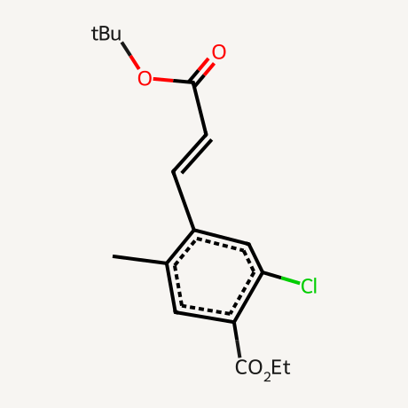 CCOC(=O)c1cc(C)c(C=CC(=O)OC(C)(C)C)cc1Cl